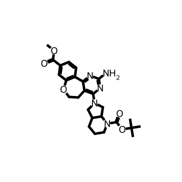 COC(=O)c1ccc2c(c1)OCCc1c-2nc(N)nc1N1CC2CCCN(C(=O)OC(C)(C)C)C2C1